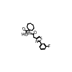 O=C(Cc1csc(-c2cccc(F)c2)n1)NC1(C(=O)O)CCCCCC1